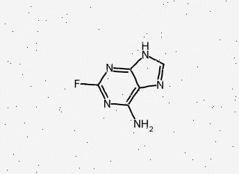 Nc1nc(F)nc2[nH]cnc12